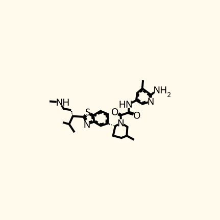 CNCC[C@H](c1nc2cc([C@H]3CCC(C)CN3C(=O)C(=O)Nc3cnc(N)c(C)c3)ccc2s1)C(C)C